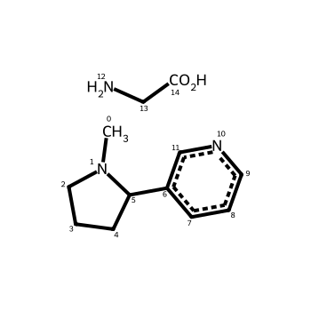 CN1CCCC1c1cccnc1.NCC(=O)O